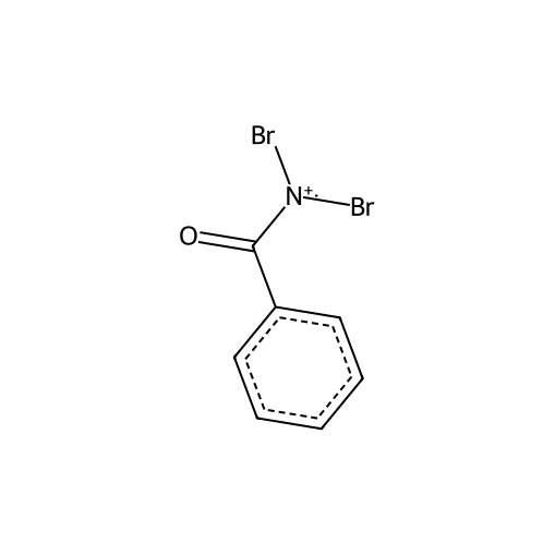 O=C(c1ccccc1)[N+](Br)Br